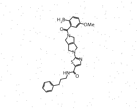 Bc1ccc(OC)cc1C(=O)N1CC2=C(C1)CN(c1ncc(C(=O)NCCCc3ccccc3)s1)C2